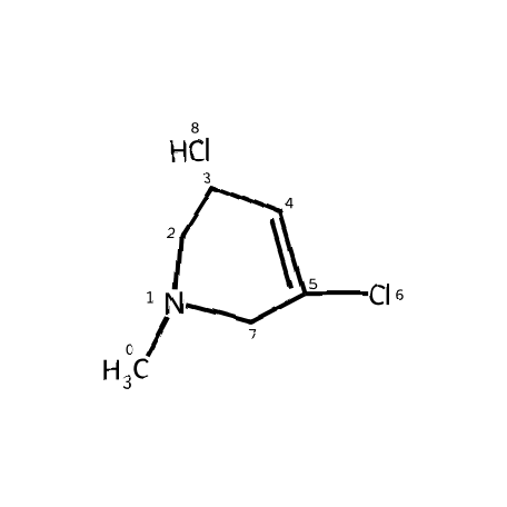 CN1CCC=C(Cl)C1.Cl